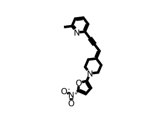 Cc1cccc(C#CC=C2CCN(c3ccc([N+](=O)[O-])o3)CC2)n1